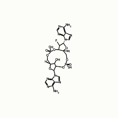 Nc1ncnc2c1ncn2C1O[C@@H]2COP(=O)(O)OC3C(F)[C@H](n4cnc5c(N)ncnc54)O[C@@H]3CO[P@](=O)(S)OC1C2O